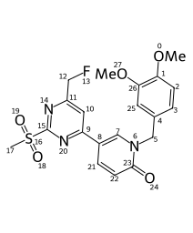 COc1ccc(Cn2cc(-c3cc(CF)nc(S(C)(=O)=O)n3)ccc2=O)cc1OC